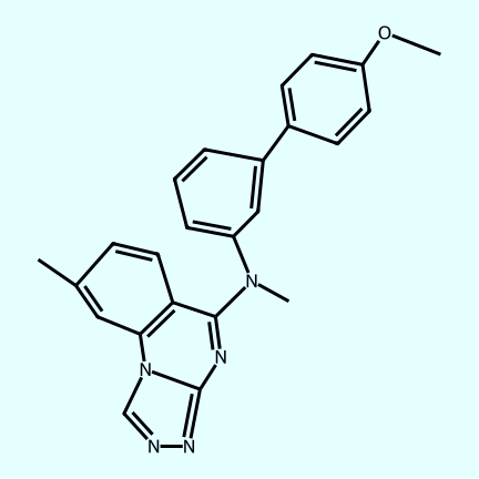 COc1ccc(-c2cccc(N(C)c3nc4nncn4c4cc(C)ccc34)c2)cc1